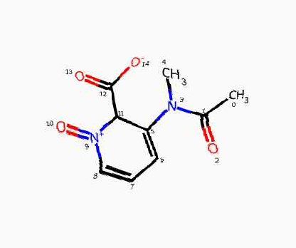 CC(=O)N(C)C1=CC=C[N+](=O)C1C(=O)[O-]